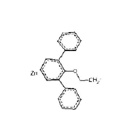 [CH2]COc1c(-c2ccccc2)cccc1-c1ccccc1.[Zn]